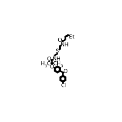 CC/C=C\CC(=O)NCCSCCNC(=O)C(C)(C)Oc1ccc(C(=O)c2ccc(Cl)cc2)cc1